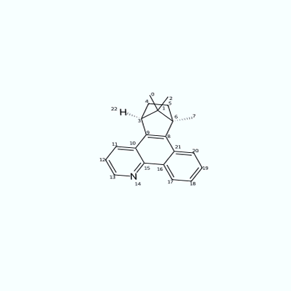 CC1(C)[C@@H]2CC[C@@]1(C)c1c2c2cccnc2c2ccccc12